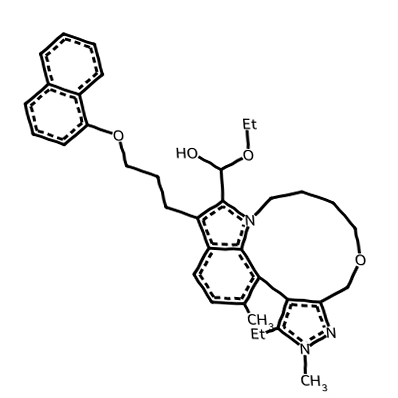 CCOC(O)c1c(CCCOc2cccc3ccccc23)c2ccc(C)c3c2n1CCCCOCc1nn(C)c(CC)c1-3